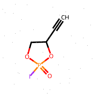 C#CC1COP(=O)(I)O1